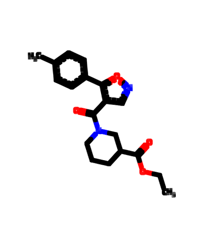 CCOC(=O)C1CCCN(C(=O)c2cnoc2-c2ccc(C)cc2)C1